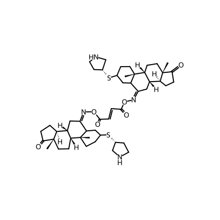 C[C@]12CCC(S[C@@H]3CCNC3)CC1/C(=N\OC(=O)/C=C/C(=O)O/N=C1/C[C@@H]3[C@@H](CC[C@]4(C)C(=O)CC[C@@H]34)[C@@]3(C)CCC(S[C@@H]4CCNC4)CC13)C[C@@H]1[C@H]2CC[C@]2(C)C(=O)CC[C@@H]12